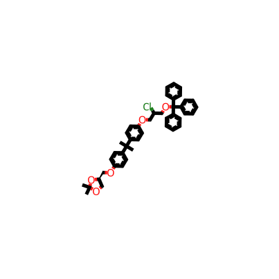 CC1(C)OC[C@H](COc2ccc(C(C)(C)c3ccc(OCC(Cl)COC(c4ccccc4)(c4ccccc4)c4ccccc4)cc3)cc2)O1